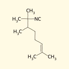 [C-]#[N+]C(C)(C)C(C)CCC=C(C)C